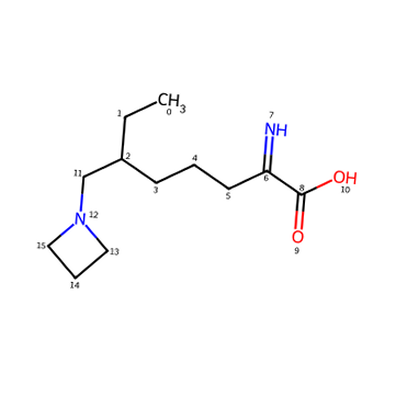 CCC(CCCC(=N)C(=O)O)CN1CCC1